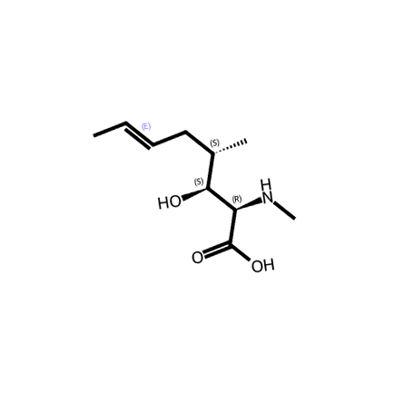 C/C=C/C[C@H](C)[C@H](O)[C@@H](NC)C(=O)O